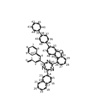 C=C/C=C(\C=C1\C=CC=CC1)c1nc(-c2ccc3ccccc3c2)nc(-c2cccc3oc4cc(-c5ccc(-c6ccccc6)cc5)ccc4c23)n1